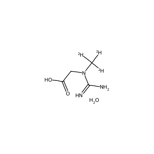 O.[2H]C([2H])([2H])N(CC(=O)O)C(=N)N